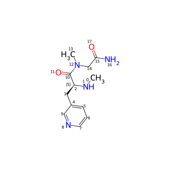 CN[C@@H](Cc1cccnc1)C(=O)N(C)CC(N)=O